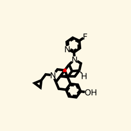 Oc1ccc2c(c1)C13CCN(CC4CC4)C(C2)C12CCC1C3[C@@H](CN1c1cc(F)ccn1)C2